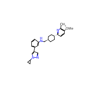 COc1ccc([C@H]2CC[C@H](CNc3cccc(-c4cnn(C5CC5)c4)c3)CC2)nc1C